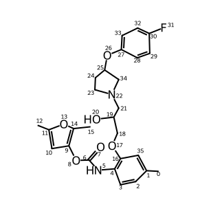 Cc1ccc(NC(=O)Oc2cc(C)oc2C)c(OCC(O)CN2CCC(Oc3ccc(F)cc3)C2)c1